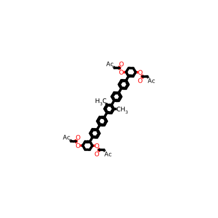 CC(=O)CC(=O)OC1C=C(c2ccc(-c3ccc(-c4cc(C)c(-c5ccc(-c6ccc(C7=CC(OC(=O)CC(C)=O)CCC7OC(=O)CC(C)=O)cc6)cc5)c(C)c4)cc3)cc2)C(OC(=O)CC(C)=O)CC1